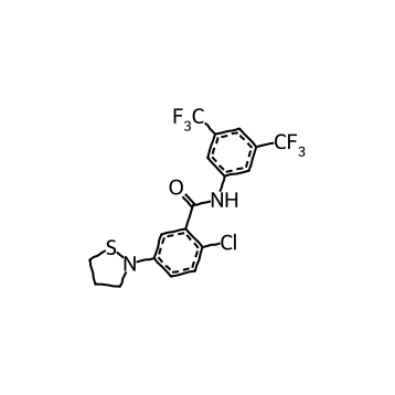 O=C(Nc1cc(C(F)(F)F)cc(C(F)(F)F)c1)c1cc(N2CCCS2)ccc1Cl